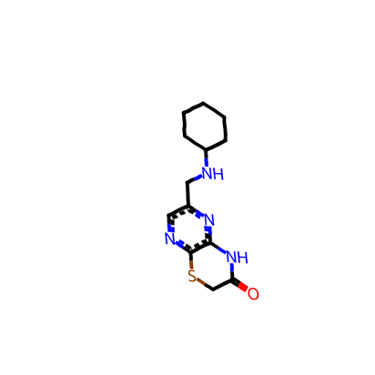 O=C1CSc2ncc(CNC3CCCCC3)nc2N1